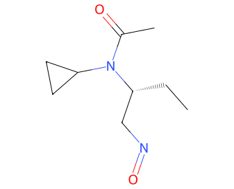 CC[C@H](CN=O)N(C(C)=O)C1CC1